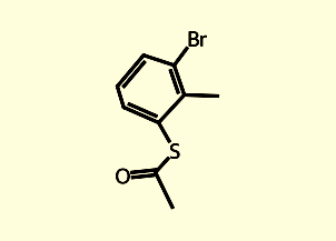 CC(=O)Sc1cccc(Br)c1C